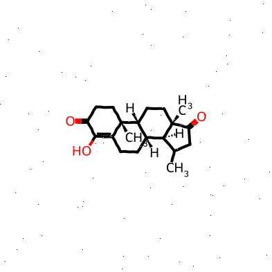 CC1CC(=O)[C@@]2(C)CC[C@@H]3[C@@H](CCC4=C(O)C(=O)CC[C@@]43C)[C@H]12